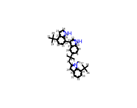 Cn1c(CC(C)(C)c2ccc3[nH]cc(-c4ccc(C(C)(C)C)c5cc[nH]c45)c3c2)cc2cccc(C(C)(C)C)c21